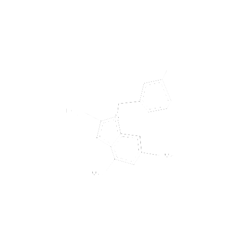 COc1cc(OC)c2cc(C(=O)O)n(Cc3cccc(Cl)c3)c2c1